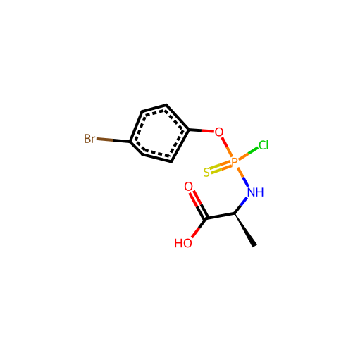 C[C@H](NP(=S)(Cl)Oc1ccc(Br)cc1)C(=O)O